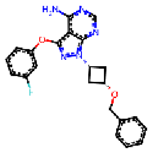 Nc1ncnc2c1c(Oc1cccc(F)c1)nn2[C@H]1C[C@@H](OCc2ccccc2)C1